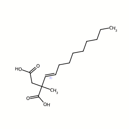 CCCCCCCC/C=C/C(C)(CC(=O)O)C(=O)O